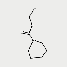 [CH2]COC(=O)N1CCCCC1